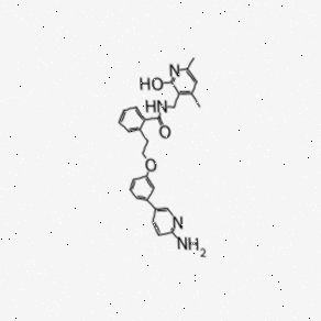 Cc1cc(C)c(CNC(=O)c2ccccc2CCOc2cccc(-c3ccc(N)nc3)c2)c(O)n1